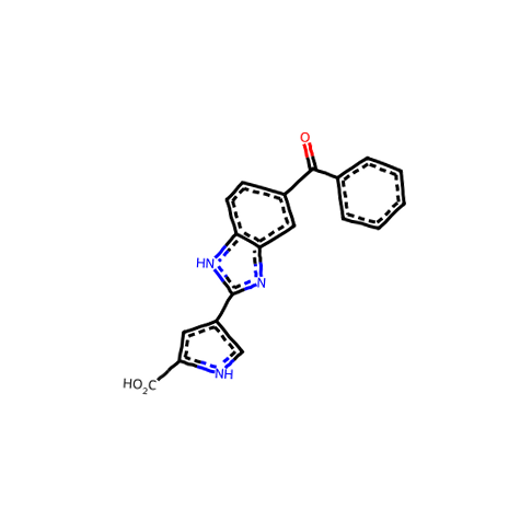 O=C(c1ccccc1)c1ccc2[nH]c(-c3c[nH]c(C(=O)O)c3)nc2c1